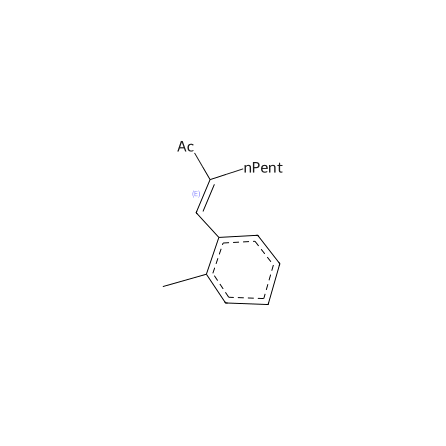 CCCCC/C(=C\c1ccccc1C)C(C)=O